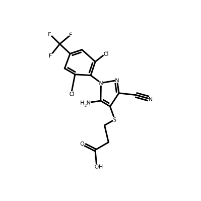 N#Cc1nn(-c2c(Cl)cc(C(F)(F)F)cc2Cl)c(N)c1SCCC(=O)O